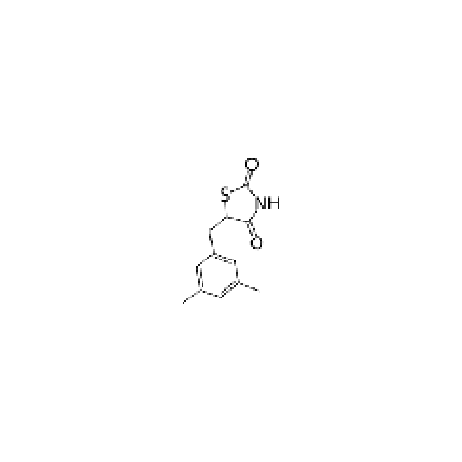 Cc1cc(C)cc(CC2SC(=O)NC2=O)c1